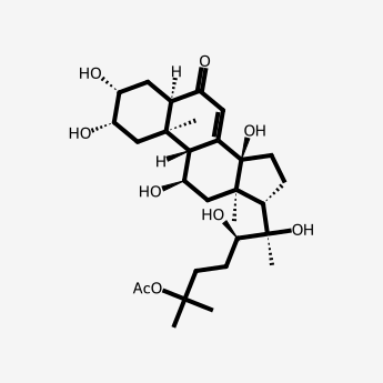 CC(=O)OC(C)(C)CC[C@@H](O)[C@](C)(O)[C@H]1CC[C@@]2(O)C3=CC(=O)[C@@H]4C[C@@H](O)[C@@H](O)C[C@]4(C)[C@H]3[C@H](O)C[C@]12C